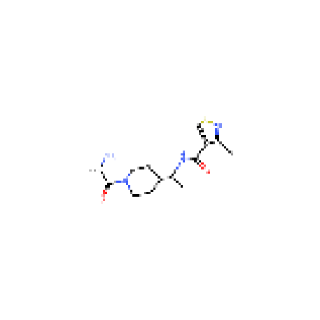 Cc1nscc1C(=O)NC(C)C1CCN(C(=O)[C@H](C)N)CC1